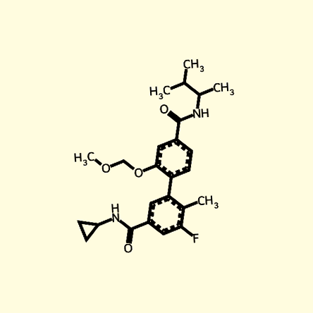 COCOc1cc(C(=O)NC(C)C(C)C)ccc1-c1cc(C(=O)NC2CC2)cc(F)c1C